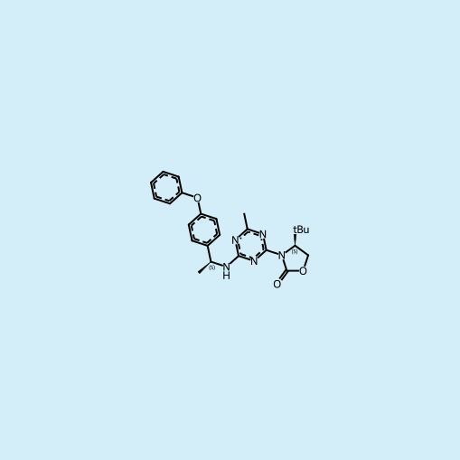 Cc1nc(N[C@@H](C)c2ccc(Oc3ccccc3)cc2)nc(N2C(=O)OC[C@@H]2C(C)(C)C)n1